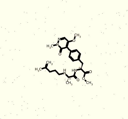 C=C(C)CCCN[C@@H](C)C(=O)N[C@@H](Cc1ccc(-c2c(OC)cnn(C)c2=O)cc1)C(=O)OC